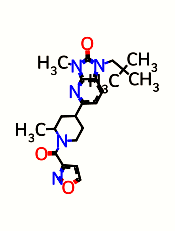 CC1CC(c2ccc3c(n2)n(C)c(=O)n3CC(C)(C)C)CCN1C(=O)c1ccon1